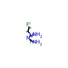 N/C=N\N(N)CCF